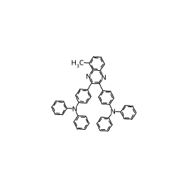 Cc1cccc2nc(-c3ccc(N(c4ccccc4)c4ccccc4)cc3)c(-c3ccc(N(c4ccccc4)c4ccccc4)cc3)nc12